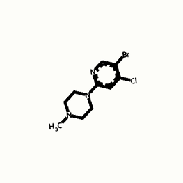 CN1CCN(c2cc(Cl)c(Br)cn2)CC1